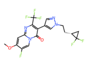 COc1cc2nc(C(F)(F)F)c(-c3cnn(CC[C@@H]4CC4(F)F)c3)c(=O)n2cc1F